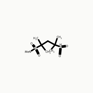 CNS(=O)(=O)C(C)(C)CC(C)(C)[SH](=O)=O